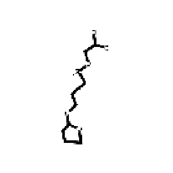 ClC(Cl)CO[SiH2]CCCOC1CCCO1